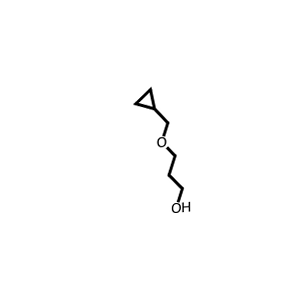 OCCCOCC1CC1